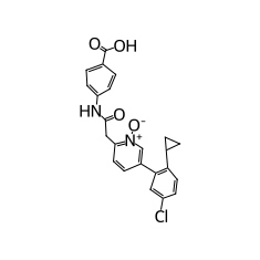 O=C(Cc1ccc(-c2cc(Cl)ccc2C2CC2)c[n+]1[O-])Nc1ccc(C(=O)O)cc1